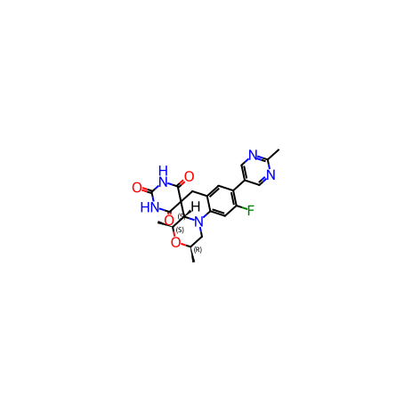 Cc1ncc(-c2cc3c(cc2F)N2C[C@@H](C)O[C@@H](C)[C@@H]2C2(C3)C(=O)NC(=O)NC2=O)cn1